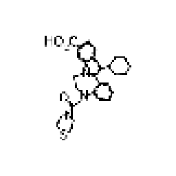 O=C(O)c1ccc2c(C3CCCCC3)c3n(c2c1)CCN(CC(=O)N1CCSCC1)c1ccccc1-3